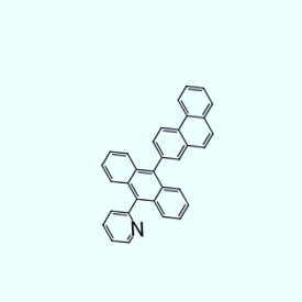 c1ccc(-c2c3ccccc3c(-c3ccc4c(ccc5ccccc54)c3)c3ccccc23)nc1